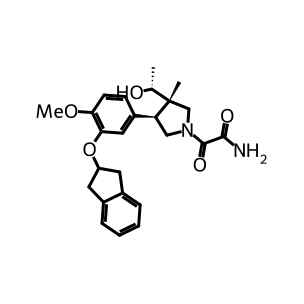 COc1ccc([C@@H]2CN(C(=O)C(N)=O)C[C@@]2(C)[C@@H](C)O)cc1OC1Cc2ccccc2C1